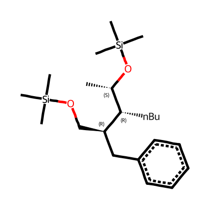 CCCC[C@H]([C@H](CO[Si](C)(C)C)Cc1ccccc1)[C@H](C)O[Si](C)(C)C